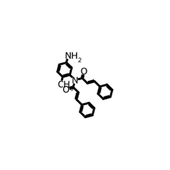 Cc1ccc(N)cc1N(C(=O)C=Cc1ccccc1)C(=O)C=Cc1ccccc1